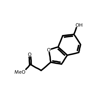 COC(=O)Cc1cc2ccc(O)cc2o1